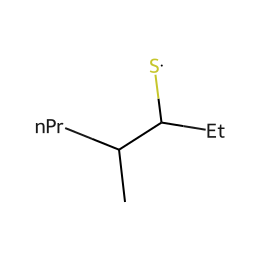 CCCC(C)C([S])CC